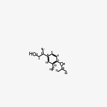 [CH2]C(CO)c1ccc(OC(C)C)c(F)c1